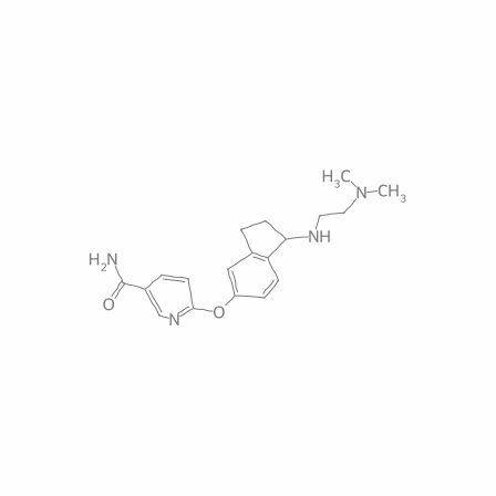 CN(C)CCNC1CCc2cc(Oc3ccc(C(N)=O)cn3)ccc21